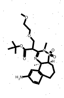 COCCOCC(C(=O)OC(C)(C)C)C1=N[C@]2(C)c3cc(N)ccc3CCC[C@@H]2S(=O)(=O)N1C